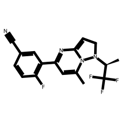 CC1=CC(c2cc(C#N)ccc2F)=NC2=CCN([C@@H](C)C(F)(F)F)N12